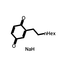 CCCCCCCCC1=CC(=O)C=CC1=O.[NaH]